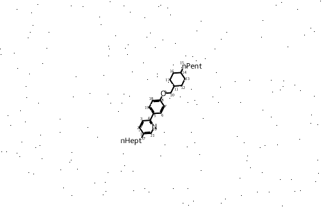 CCCCCCCc1ccc(-c2ccc(OCC3CCC(CCCCC)CC3)cc2)nc1